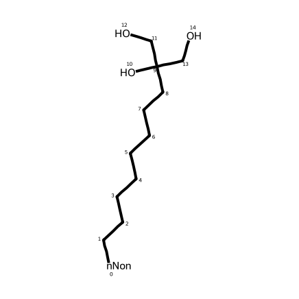 CCCCCCCCCCCCCCCCCC(O)(CO)CO